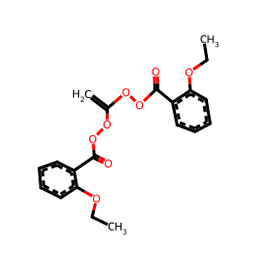 C=C(OOC(=O)c1ccccc1OCC)OOC(=O)c1ccccc1OCC